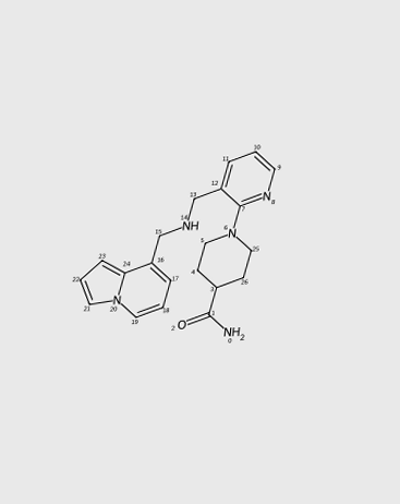 NC(=O)C1CCN(c2ncccc2CNCc2cccn3cccc23)CC1